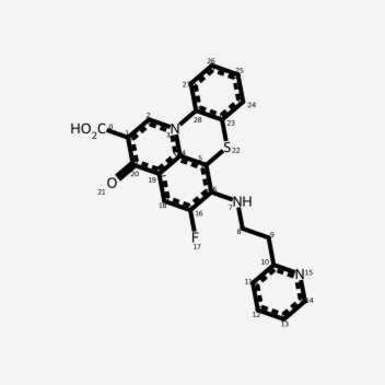 O=C(O)c1cn2c3c(c(NCCc4ccccn4)c(F)cc3c1=O)Sc1ccccc1-2